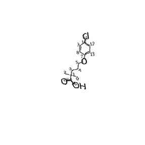 CC(C)(CCCOc1ccc(Cl)cc1)C(=O)O